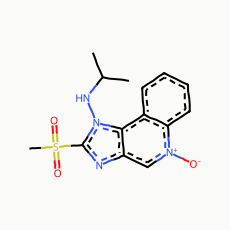 CC(C)Nn1c(S(C)(=O)=O)nc2c[n+]([O-])c3ccccc3c21